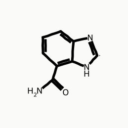 NC(=O)c1cccc2n[c][nH]c12